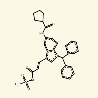 CS(=O)(=O)NC(=O)C=Cc1cn(C(c2ccccc2)c2ccccc2)c2ccc(NC(=O)C3CCCC3)cc12